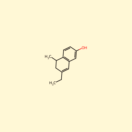 CCC1=Cc2cc(O)ccc2C(C)C1